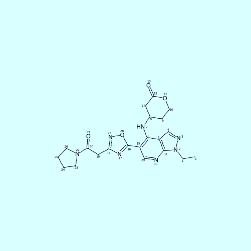 CCn1ncc2c(NC3CCOC(=O)C3)c(-c3nc(CC(=O)N4CCCC4)no3)cnc21